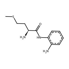 CSCC[C@H](N)C(=O)Nc1ccccc1N